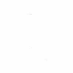 CCCN(CCC)C(=O)c1cc(C(=O)N[C@@H](Cc2cc(F)cc(F)c2)[C@H](O)CNCc2cccc(N(C)C(=O)OC)c2)cc(-c2ncco2)c1